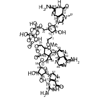 COCC[C@H]1[C@@H](O)[C@H](n2c[n+](C)c3c(=O)[nH]c(N)nc32)O[C@@H]1COP(=O)(O)OP(=O)(O)OP(=O)(O)OCC1O[C@@H](n2cnc3c(N)ncnc32)C2(C[C@H]2C)[C@@H]1P(=O)([O-])OC[C@H]1O[C@@H](n2cnc3c(=O)[nH]c(N)nc32)[C@H](O)[C@@H]1O